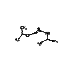 CC(C)NC1OC1OC(C)C